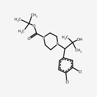 CC(C)(C)OC(=O)N1CCN(C(c2ccc(Cl)c(Cl)c2)C(C)(C)O)CC1